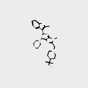 Cc1oc2ccccc2c1-c1nc(N2CCOCC2)c2nc(CN3CCC(C(C)(C)O)CC3)n(C)c2n1